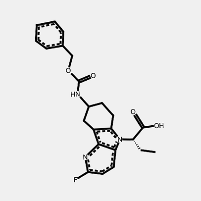 CC[C@@H](C(=O)O)n1c2c(c3nc(F)ccc31)CC(NC(=O)OCc1ccccc1)CC2